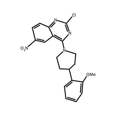 COc1ccccc1C1CCN(c2nc(Cl)nc3ccc([N+](=O)[O-])cc23)CC1